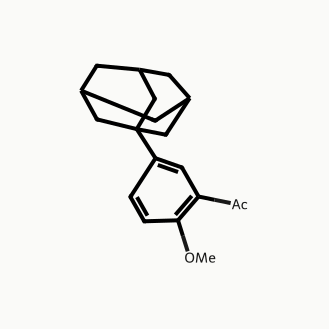 COc1ccc(C23CC4CC(CC(C4)C2)C3)cc1C(C)=O